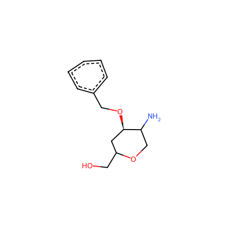 NC1COC(CO)C[C@H]1OCc1ccccc1